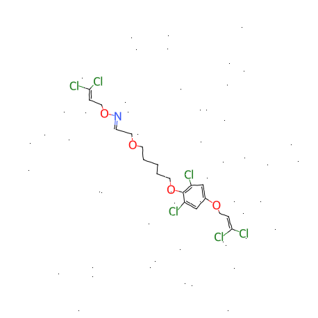 ClC(Cl)=CCON=CCOCCCCCOc1c(Cl)cc(OCC=C(Cl)Cl)cc1Cl